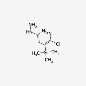 C[Si](C)(C)c1cc(NN)nnc1Cl